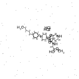 CCCCCc1ccc(N2CCN(S(=O)(=O)C3(C(=O)NCC(O)OC)CCNCC3)CC2)cc1.Cl.Cl